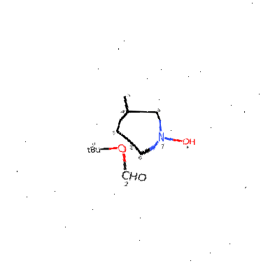 CC(C)(C)OC=O.CC1CCN(O)C1